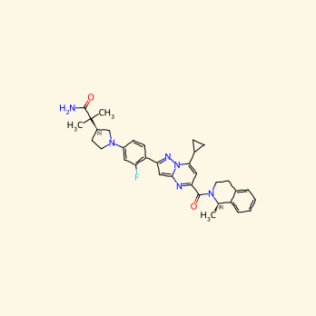 C[C@@H]1c2ccccc2CCN1C(=O)c1cc(C2CC2)n2nc(-c3ccc(N4CC[C@@H](C(C)(C)C(N)=O)C4)cc3F)cc2n1